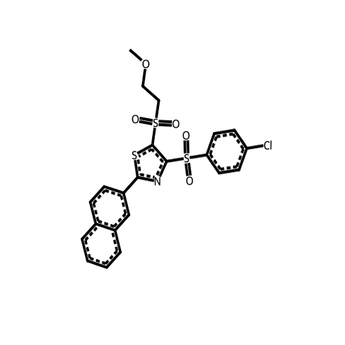 COCCS(=O)(=O)c1sc(-c2ccc3ccccc3c2)nc1S(=O)(=O)c1ccc(Cl)cc1